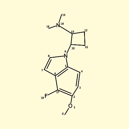 COc1ccc2c(ccn2C2CCC2N(C)C)c1F